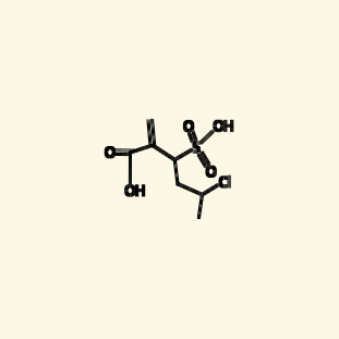 C=C(C(=O)O)C(CC(C)Cl)S(=O)(=O)O